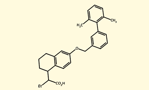 CCC(C(=O)O)C1CCCc2cc(OCc3cccc(-c4c(C)cccc4C)c3)ccc21